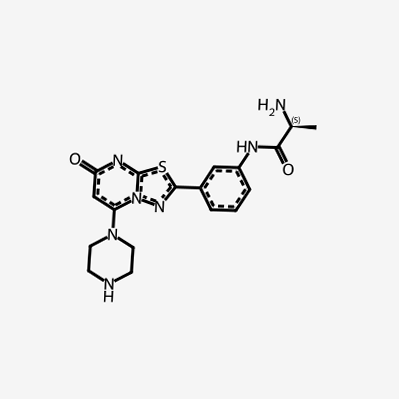 C[C@H](N)C(=O)Nc1cccc(-c2nn3c(N4CCNCC4)cc(=O)nc3s2)c1